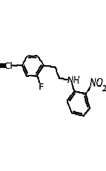 O=[N+]([O-])c1ccccc1NCCc1ccc(Cl)cc1F